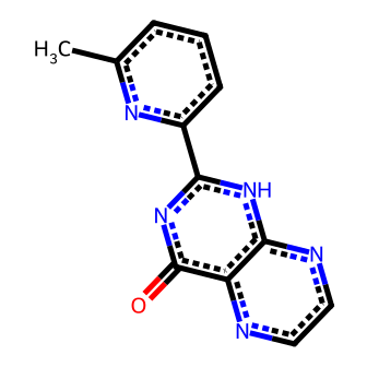 Cc1cccc(-c2nc(=O)c3nccnc3[nH]2)n1